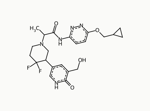 CC(C(=O)Nc1ccc(OCC2CC2)nn1)N1CCC(F)(F)C(c2c[nH]c(=O)c(CO)c2)C1